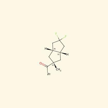 CC(C)C(=O)[C@@]1(C)C[C@H]2CC(F)(F)C[C@H]2C1